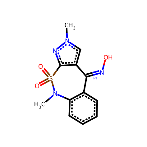 CN1c2ccccc2/C(=N/O)c2cn(C)nc2S1(=O)=O